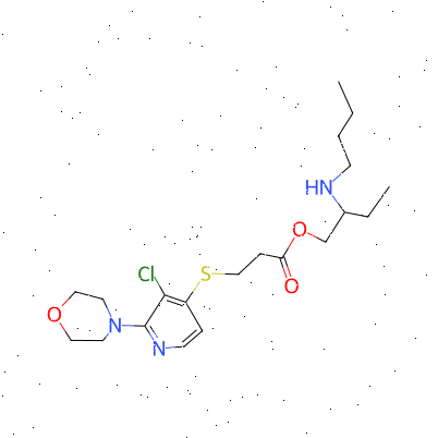 CCCCNC(CC)COC(=O)CCSc1ccnc(N2CCOCC2)c1Cl